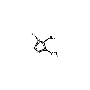 CCn1nnc(C(Cl)(Cl)Cl)c1C(C)(C)C